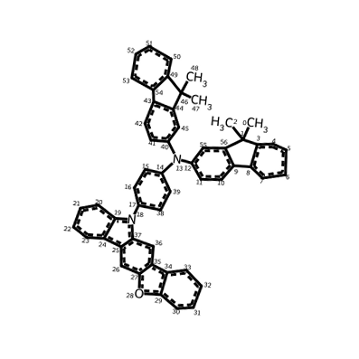 CC1(C)c2ccccc2-c2ccc(N(c3ccc(-n4c5ccccc5c5cc6oc7ccccc7c6cc54)cc3)c3ccc4c(c3)C(C)(C)c3ccccc3-4)cc21